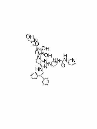 O=C(Nc1cccnc1)N[C@@H]1CCN(c2nc(NCC(c3ccccc3)c3ccccc3)c3ccn([C@@H]4O[C@H](c5cc(CO)no5)[C@@H](O)[C@H]4O)c3n2)C1